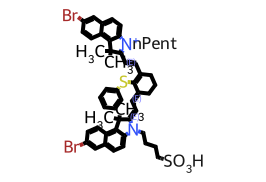 CCCCC[N+]1=C(/C=C/C2=C(Sc3ccccc3)C(=C/C=C3/N(CCCCS(=O)(=O)O)c4ccc5cc(Br)ccc5c4C3(C)C)/CCC2)C(C)(C)c2c1ccc1cc(Br)ccc21